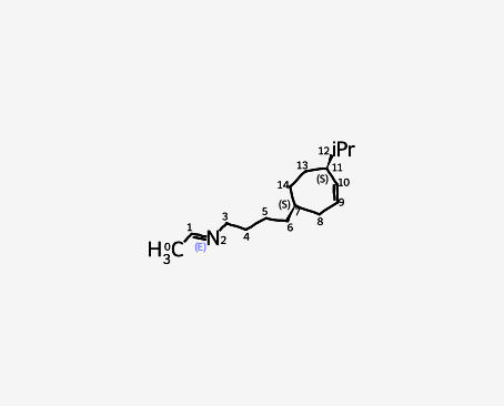 C/C=N/CCCC[C@@H]1CC=C[C@H](C(C)C)CC1